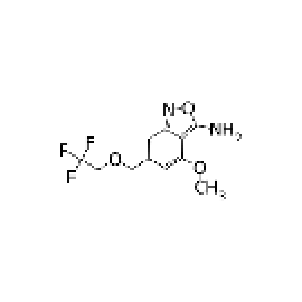 COc1cc(COCC(F)(F)F)cc2noc(N)c12